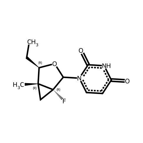 CC[C@H]1OC(n2ccc(=O)[nH]c2=O)[C@@]2(F)C[C@]12C